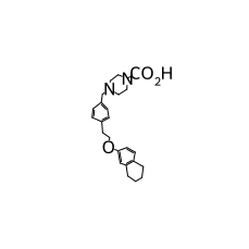 O=C(O)N1CCN(Cc2ccc(CCOc3ccc4c(c3)CCCC4)cc2)CC1